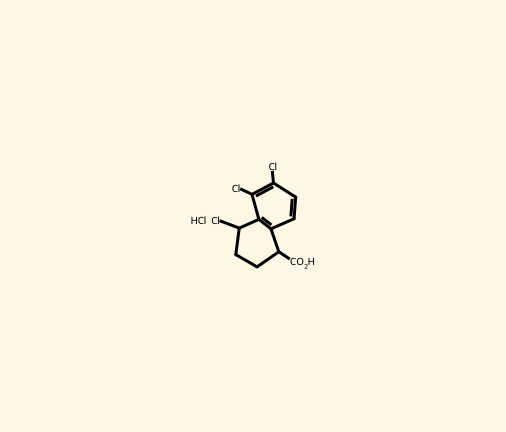 Cl.O=C(O)C1CCC(Cl)c2c1ccc(Cl)c2Cl